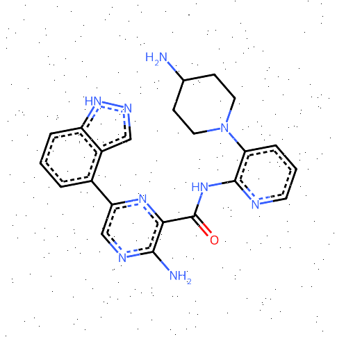 Nc1ncc(-c2cccc3[nH]ncc23)nc1C(=O)Nc1ncccc1N1CCC(N)CC1